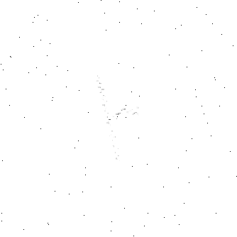 C=CCCCCCCCCCCCCC(=C=C(C)CCC=C(C)CCC=C(C)C)CCCCCCCCCCCCC=C